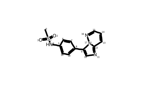 CS(=O)(=O)Nc1ccc(-c2cnc3cccnn23)cc1